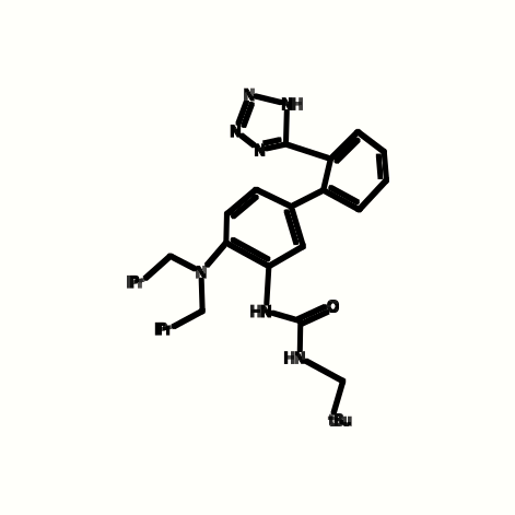 CC(C)CN(CC(C)C)c1ccc(-c2ccccc2-c2nnn[nH]2)cc1NC(=O)NCC(C)(C)C